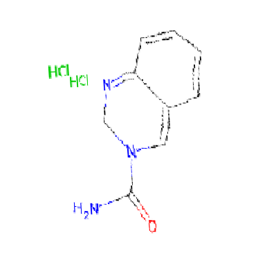 Cl.Cl.NC(=O)N1C=c2ccccc2=NC1